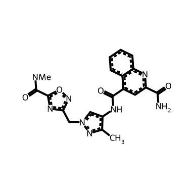 CNC(=O)c1nc(Cn2cc(NC(=O)c3cc(C(N)=O)nc4ccccc34)c(C)n2)no1